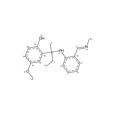 CCC(C)(Pc1ccccc1/C=N/C)c1cc(OC)ccc1O